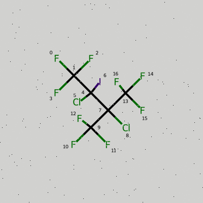 FC(F)(F)C(Cl)(I)C(Cl)(C(F)(F)F)C(F)(F)F